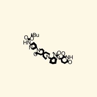 Cn1c(=O)n(C2CCC(=O)NC2=O)c2cccc(N3CCC4(CC3)CCN(c3ccc(NC(=O)OC(C)(C)C)nc3)C(=O)C4)c21